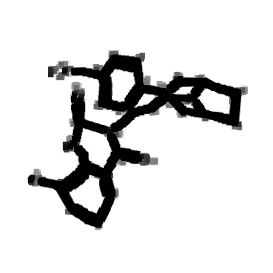 O=c1[nH]c2c(Cl)cccc2c(=O)n1CCCN1C2CCC1CN(c1ccc(C(F)(F)F)cc1)C2